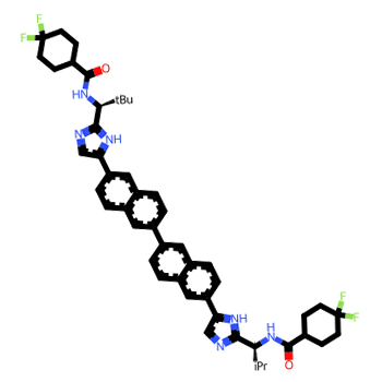 CC(C)[C@H](NC(=O)C1CCC(F)(F)CC1)c1ncc(-c2ccc3cc(-c4ccc5cc(-c6cnc([C@@H](NC(=O)C7CCC(F)(F)CC7)C(C)(C)C)[nH]6)ccc5c4)ccc3c2)[nH]1